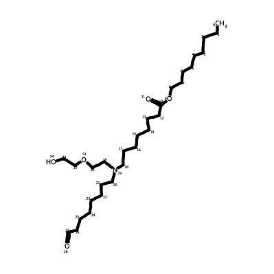 CCCCCCCCCOC(=O)CCCCCCCN(CCCCCCCC=O)CCOCCO